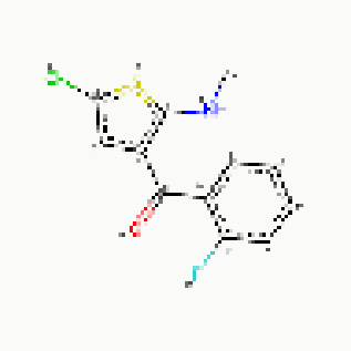 CNc1sc(Cl)cc1C(=O)c1ccccc1F